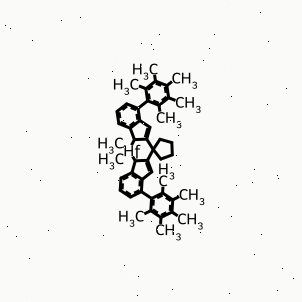 Cc1c(C)c(C)c(-c2cccc3c2C=C2[CH]3[Hf]([CH3])([CH3])[CH]3C(=Cc4c(-c5c(C)c(C)c(C)c(C)c5C)cccc43)C23CCCC3)c(C)c1C